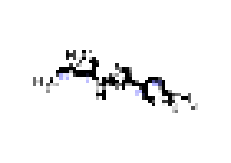 C=C/C=C\C(=C/C)c1csc(N/C(C=C)=C/C=C\C)n1